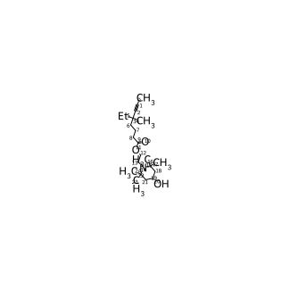 CC#CC(C)(CC)CCCC(=O)OCCN1C(C)(C)CC(O)CC1(C)C